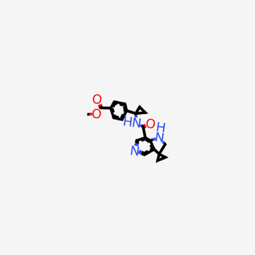 COC(=O)c1ccc(C2(NC(=O)c3cncc4c3NCC43CC3)CC2)cc1